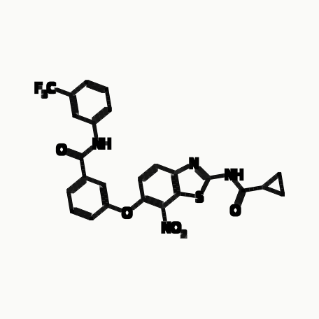 O=C(Nc1cccc(C(F)(F)F)c1)c1cccc(Oc2ccc3nc(NC(=O)C4CC4)sc3c2[N+](=O)[O-])c1